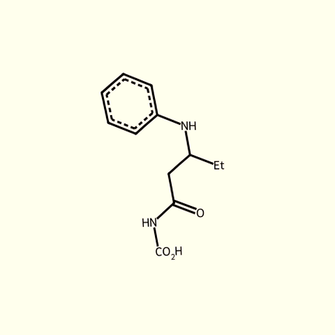 CCC(CC(=O)NC(=O)O)Nc1ccccc1